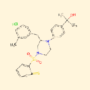 Cc1cccc(CC2CN(S(=O)(=O)C3=CC=CCC3=S)CCN2c2ccc(C(O)(C(F)(F)F)C(F)(F)F)cc2)c1.Cl